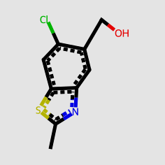 Cc1nc2cc(CO)c(Cl)cc2s1